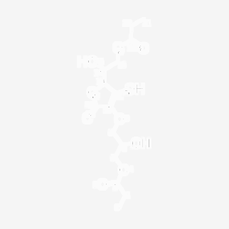 CCC(=O)OCC(O)COC1=C(O)C(C(O)COC(=O)CC)OC1=O